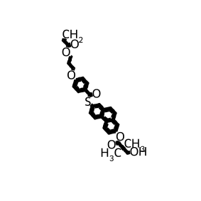 C=CC(=O)OCCCOc1ccc(C(=O)Sc2ccc3c(ccc4cc(OC(=O)C(C)(C)CO)ccc43)c2)cc1